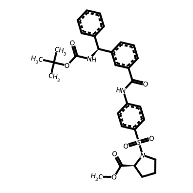 COC(=O)[C@@H]1CCCN1S(=O)(=O)c1ccc(NC(=O)c2cccc([C@@H](NC(=O)OC(C)(C)C)c3ccccc3)c2)cc1